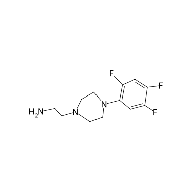 NCCN1CCN(c2cc(F)c(F)cc2F)CC1